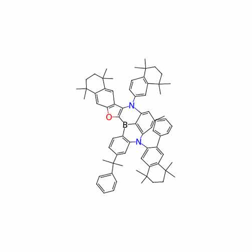 Cc1cc2c3c(c1)N(c1ccc4c(c1)C(C)(C)CCC4(C)C)c1c(oc4cc5c(cc14)C(C)(C)CCC5(C)C)B3c1ccc(C(C)(C)c3ccccc3)cc1N2c1cc2c(cc1-c1ccccc1)C(C)(C)CCC2(C)C